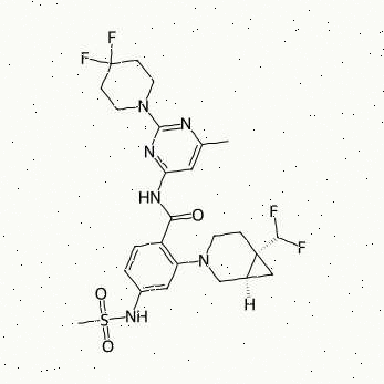 Cc1cc(NC(=O)c2ccc(NS(C)(=O)=O)cc2N2CC[C@@]3(C(F)F)C[C@H]3C2)nc(N2CCC(F)(F)CC2)n1